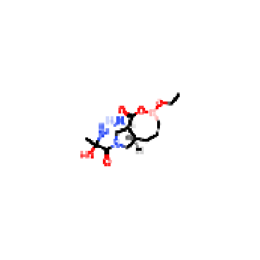 CCOB1CCC[C@H]2CN(C(=O)C(C)(N)O)C[C@@]2(N)C(=O)O1